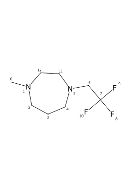 CN1CCCN(CC(F)(F)F)CC1